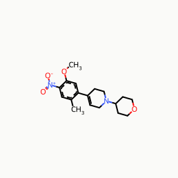 COc1cc(C2=CCN(C3CCOCC3)CC2)c(C)cc1[N+](=O)[O-]